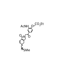 CCOC(=O)COc1ccc(C(=O)CN2CC3=C(C=CC(=C=NSC)C3)C2=O)cc1NC(C)=O